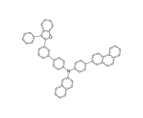 c1ccc(-c2c(-c3cccc(-c4ccc(N(c5ccc(-c6ccc7c(ccc8ccccc87)c6)cc5)c5ccc6ccccc6c5)cc4)c3)oc3ccccc23)cc1